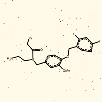 COc1cc(CN(CCN)C(=O)CC(C)C)ccc1OCc1ccc(F)cc1F